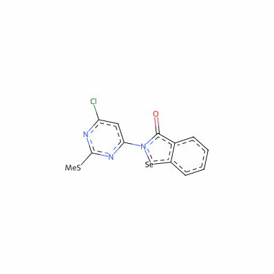 CSc1nc(Cl)cc(-n2[se]c3ccccc3c2=O)n1